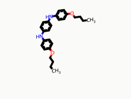 CCCCOc1ccc(Nc2ccc(Nc3ccc(OCCCC)cc3)cc2)cc1